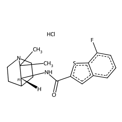 CC1(C)[C@H](NC(=O)c2cc3cccc(F)c3s2)C2CCN1CC2.Cl